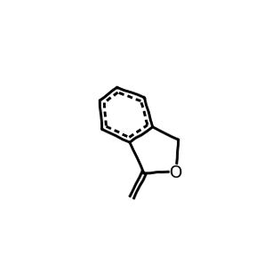 C=C1OCc2ccccc21